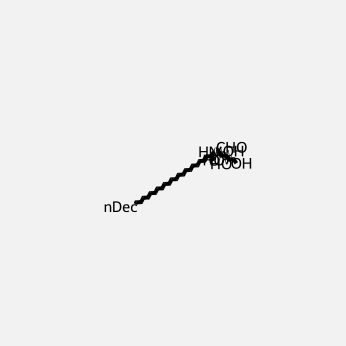 CCCCCCCCCCCCCCCCCCCCCCCCCCCCCC=CC(=O)N[C@@H](C=O)[C@@H](O)[C@H](O)[C@H](O)CO